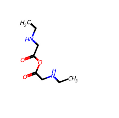 CCNCC(=O)OC(=O)CNCC